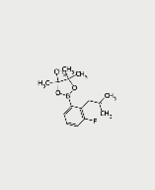 C[C](C)Cc1c(F)cccc1B1OC(C)(C)C(C)(C)O1